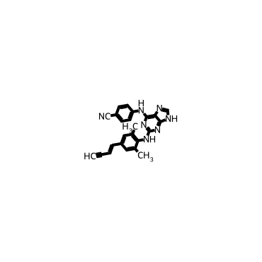 C#C/C=C/c1cc(C)c(Nc2nc(Nc3ccc(C#N)cc3)c3nc[nH]c3n2)c(C)c1